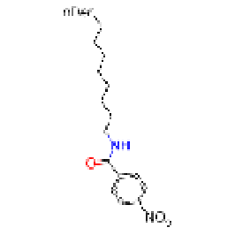 CCCCCCCCCCCCCCCCCCNC(=O)c1ccc([N+](=O)[O-])cc1